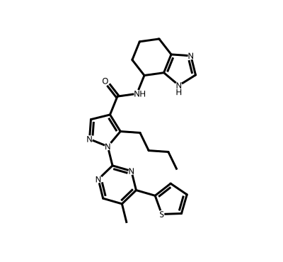 CCCCc1c(C(=O)NC2CCCc3nc[nH]c32)cnn1-c1ncc(C)c(-c2cccs2)n1